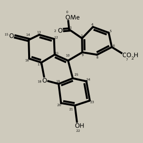 COC(=O)c1ccc(C(=O)O)cc1-c1c2ccc(=O)cc-2oc2cc(O)ccc12